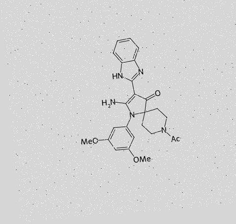 COc1cc(OC)cc(N2C(N)=C(c3nc4ccccc4[nH]3)C(=O)C23CCN(C(C)=O)CC3)c1